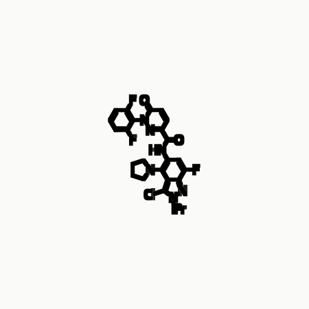 CC(C)n1nc2c(F)cc(NC(=O)c3ccc(=O)n(-c4c(F)cccc4F)n3)c(N3CCCC3)c2c1Cl